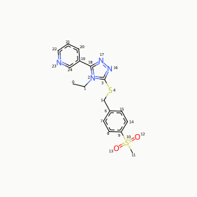 CCn1c(SCc2ccc(S(C)(=O)=O)cc2)nnc1-c1cccnc1